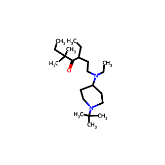 CCC(CCN(CC)C1CCN(C(C)(C)C)CC1)C(=O)C(C)(C)CC